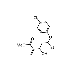 C=C(C(=O)OC)C(O)CC(CC)Oc1ccc(Cl)cc1